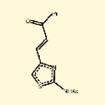 CC(=O)Nc1nc(C=CC(=O)C(C)C)cs1